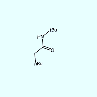 CCCCCC(=O)NC(C)(C)C